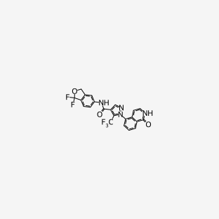 O=C(Nc1ccc2c(c1)COC2(F)F)c1cnn(-c2cccc3c(=O)[nH]ccc23)c1C(F)(F)F